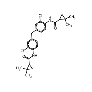 CC1(C)CC1C(=O)Nc1ccc(Cc2ccc(NC(=O)C3CC3(C)C)c(Cl)c2)cc1Cl